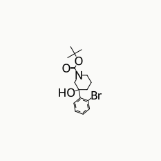 CC(C)(C)OC(=O)N1CCCC(O)(c2ccccc2Br)C1